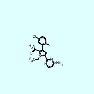 Cc1ccc(Cl)cc1-c1cc(-c2nccc(N)n2)n(CC(F)(F)F)c1C(N)=O